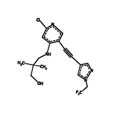 CC(C)(CO)CNc1cc(Cl)ncc1C#Cc1cnn(CC(F)(F)F)c1